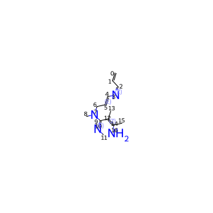 C=C/C=N\C=C\CN(C)C(=N/C)/C(C)=C(/C)N